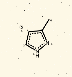 Cc1cc[nH]n1.[S]